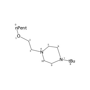 CCCCCOCCN1CCN(C(C)(C)C)CC1